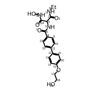 CCNC(=O)C(NC(=O)c1ccc(-c2ccc(OCCO)cc2)cc1)C(=O)NO